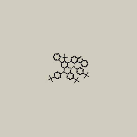 CC(C)(C)c1ccc(N2B3c4cc(C(C)(C)C)ccc4N(c4ccc(C(C)(C)C)cc4)c4cc5c(c(c43)-c3ccc4oc6ccccc6c4c32)C(C)(C)c2ccccc2-5)cc1